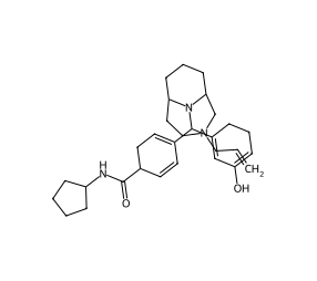 C=CCN1CCC2CCCC(C1)N2C(C1=CCC(C(=O)NC2CCCC2)C=C1)C1=CC(O)=CCC1